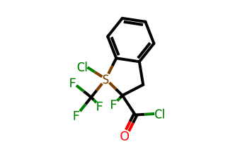 O=C(Cl)C1(F)Cc2ccccc2S1(Cl)C(F)(F)F